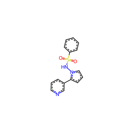 O=S(=O)(Nn1cccc1-c1cccnc1)c1ccccc1